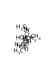 CCC(=O)[C@@]1(O)CC[C@H]2[C@@H]3C[C@H](C)C4=Cc5nn(C)cc5C[C@]4(C)[C@H]3[C@@H](O)C[C@@]21C